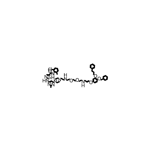 Cc1nc(Nc2ncc(C(=O)Nc3c(C)cccc3Cl)s2)cc(N2CCN(CCNCCOCCOCCNC/C=C/Oc3ccc(OCc4ccccc4)c(OCCCc4ccccc4)c3)CC2)n1